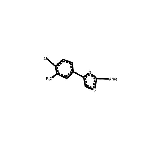 CNc1nc(-c2ccc(Cl)c(C(F)(F)F)c2)cs1